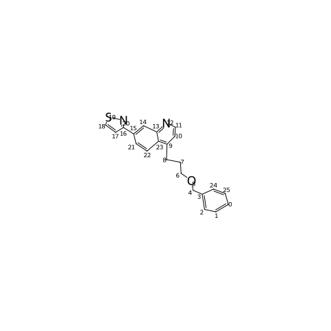 c1ccc(COCCCc2ccnc3cc(-c4ccsn4)ccc23)cc1